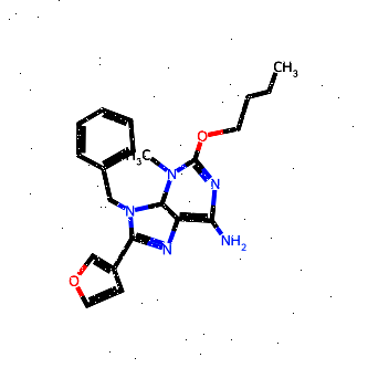 CCCCOC1=NC(N)=C2N=C(c3ccoc3)N(Cc3ccccc3)C2N1C